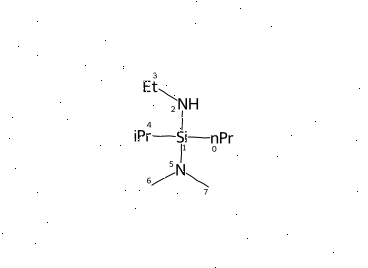 CCC[Si](NCC)(C(C)C)N(C)C